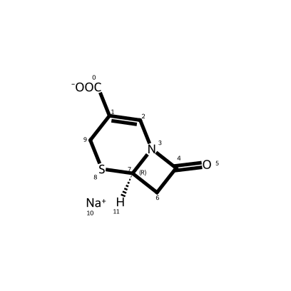 O=C([O-])C1=CN2C(=O)C[C@H]2SC1.[Na+]